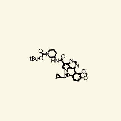 CC(C)(C)OC(=O)N1CCCC(NC(=O)c2c[nH]c3c(-c4c(OCC5CC5)ccc5c4OCO5)ncnc23)C1